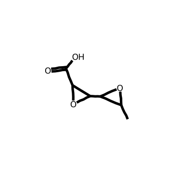 CC1OC1C1OC1C(=O)O